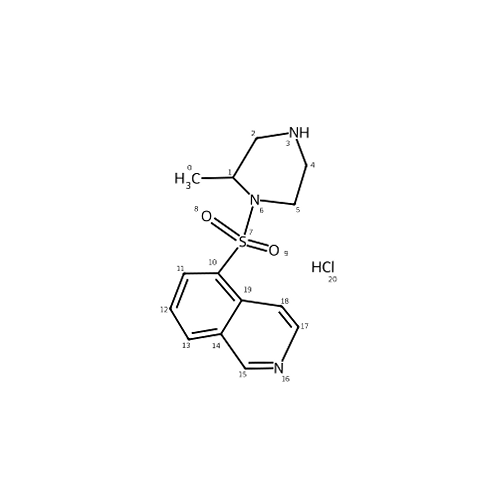 CC1CNCCN1S(=O)(=O)c1cccc2cnccc12.Cl